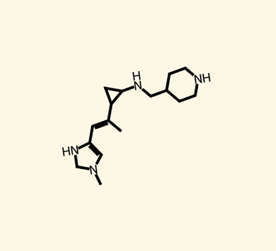 C/C(=C\C1=CN(C)CN1)C1CC1NCC1CCNCC1